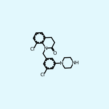 O=C1CCc2cccc(Cl)c2N1Cc1cc(Cl)cc(N2CCNCC2)c1